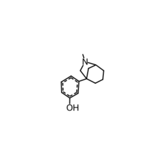 CN1CC2(c3cccc(O)c3)CCCC1C2